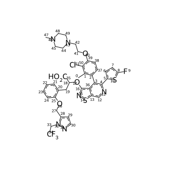 Cc1c(-c2c(-c3ccc(F)s3)ncc3snc(OC(Cc4ccccc4OCc4ccnn4CC(F)(F)F)C(=O)O)c23)ccc(OCCN2CCN(C)CC2)c1Cl